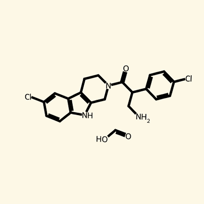 NCC(C(=O)N1CCc2c([nH]c3ccc(Cl)cc23)C1)c1ccc(Cl)cc1.O=CO